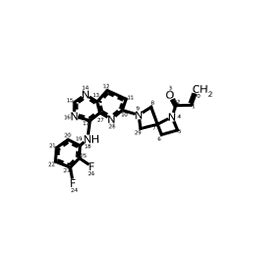 C=CC(=O)N1CCC12CN(c1ccc3ncnc(Nc4cccc(F)c4F)c3n1)C2